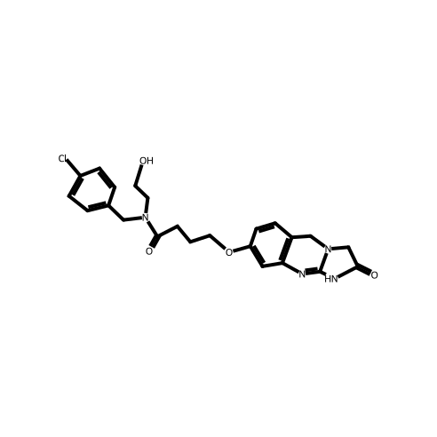 O=C1CN2Cc3ccc(OCCCC(=O)N(CCO)Cc4ccc(Cl)cc4)cc3N=C2N1